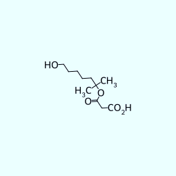 CC(C)(CCCCCO)OC(=O)CC(=O)O